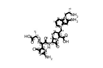 C[C@H](N)Cn1c(N)cc2c1ccc[n+]2CC1=C(C(=O)O)N2C(=O)[C@@H](NC(=O)/C(=N\O[C@@H](C)C(=O)O)c3nc(N)sc3Cl)C2SC1